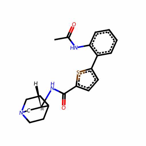 CC(=O)Nc1ccccc1-c1ccc(C(=O)N[C@H]2CN3CCC2CC3)s1